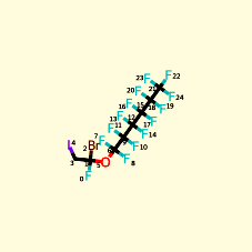 FC(Br)(CI)OC(F)(F)C(F)(F)C(F)(F)C(F)(F)C(F)(F)C(F)(F)F